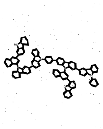 c1ccc(-n2c3ccccc3c3cc(-c4ccc5c6ccc(-c7ccc(-n8c9ccccc9c9cc(-c%10ccc%11c%12ccccc%12n(-c%12cc(-c%13ccc%14c(c%13)[nH]c%13ccccc%13%14)cc%13ccccc%12%13)c%11c%10)ccc98)cc7)cc6n(-c6cc(-c7cccc8c7oc7ccccc78)cc7ccccc67)c5c4)ccc32)cc1